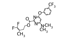 CC(CCOC(=O)c1nc(Oc2cccc(C(F)(F)F)c2)cc(N(C)C)n1)=C(F)F